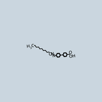 CCCCCCCCCCON=Nc1ccc(-c2ccc(C(=O)O)cc2)cc1